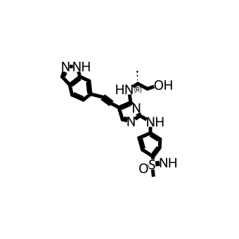 C[C@H](CO)Nc1nc(Nc2ccc(S(C)(=N)=O)cc2)ncc1C#Cc1ccc2cn[nH]c2c1